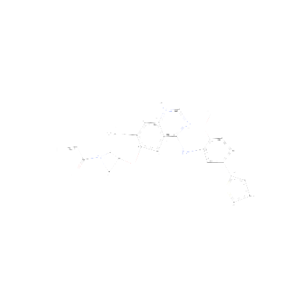 C=CC(=O)N1CC(Oc2cc3c(Nc4cc(-c5cccs5)ccc4OCC)ncnc3cc2OC)C1